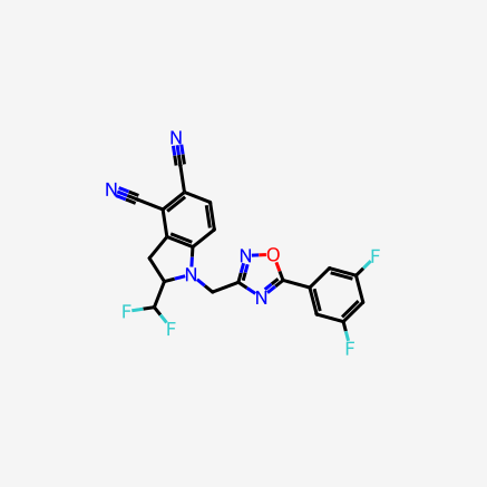 N#Cc1ccc2c(c1C#N)CC(C(F)F)N2Cc1noc(-c2cc(F)cc(F)c2)n1